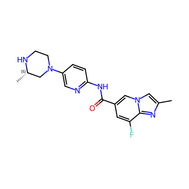 Cc1cn2cc(C(=O)Nc3ccc(N4CCN[C@@H](C)C4)cn3)cc(F)c2n1